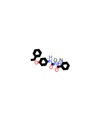 CC(Oc1ccc(NC(=O)NC(=O)c2ccccc2[N+](=O)[O-])cc1)c1ccccc1